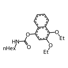 CCCCCCNC(=O)Oc1cc(OCC)c(OCC)c2ccccc12